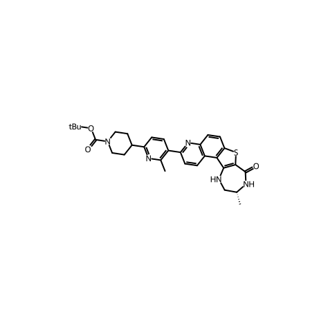 Cc1nc(C2CCN(C(=O)OC(C)(C)C)CC2)ccc1-c1ccc2c(ccc3sc4c(c32)NC[C@@H](C)NC4=O)n1